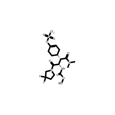 CN(C)C(=O)[C@@H](C1CC=C(OS(=O)(=O)C(F)(F)F)CC1)[C@H](NC(=O)OC(C)(C)C)C(=O)N1CCC(F)(F)C1